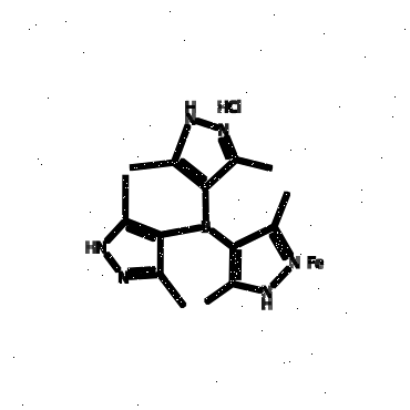 Cc1n[nH]c(C)c1B(c1c(C)n[nH]c1C)c1c(C)n[nH]c1C.Cl.[Fe]